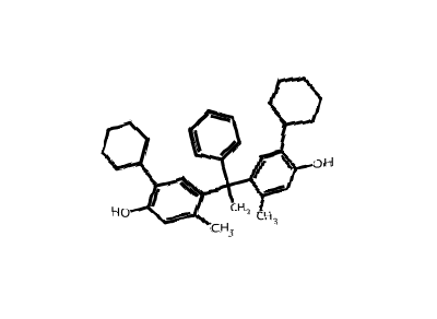 Cc1cc(O)c(C2CCCCC2)cc1C(C)(c1ccccc1)c1cc(C2CCCCC2)c(O)cc1C